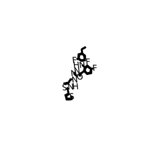 CCc1ccc(Nc2c(-c3nnc(NCc4csc(-c5cccs5)n4)o3)ccc(F)c2F)c(F)c1